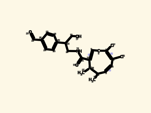 CC1/C=C\C(Cl)=C(\Cl)C/C=C(/C(=O)NCC(CO)c2ccc(C=O)cc2)N1C